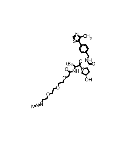 Cc1ncsc1-c1ccc(CNC(=O)[C@@H]2C[C@H](O)CN2C(=O)C(NC(=O)COCCOCCOCCN=[N+]=[N-])C(C)(C)C)cc1